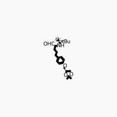 CC1(C)OC[C@@H](COc2ccc(CCCC(C=O)N[S+]([O-])C(C)(C)C)cc2)O1